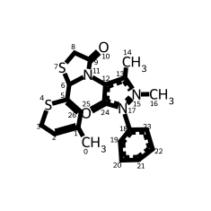 CC1=CCSC(C2SCC(=O)N2c2c(C)n(C)n(-c3ccccc3)c2=O)=C1